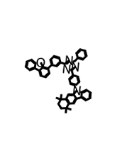 CC1(C)CCC(C)(C)c2cc3c(cc21)c1ccccc1n3-c1ccc(-c2nc(-c3ccccc3)nc(-c3cccc(-c4cccc5c4oc4ccccc45)c3)n2)cc1